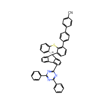 N#Cc1ccc(-c2ccc(-c3cccc4c3Sc3ccccc3[C@]43c4ccccc4-c4c(-c5nc(-c6ccccc6)nc(-c6ccccc6)n5)cccc43)cc2)cc1